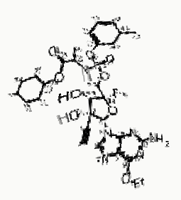 C#C[C@]1(O)[C@H](n2cnc3c(OCC)nc(N)nc32)O[C@](F)(COP(=O)(NC(C)C(=O)OC2CCCCC2)OC2=CC=CC(C)C2)[C@H]1O